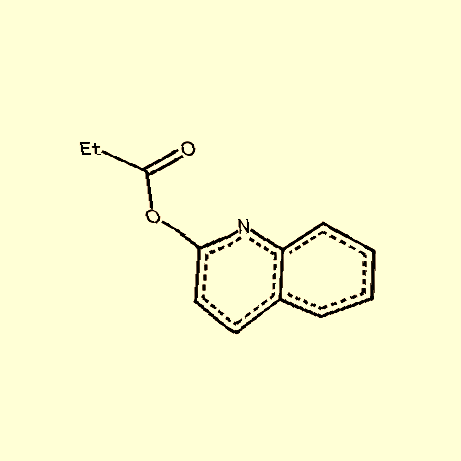 CCC(=O)Oc1ccc2ccccc2n1